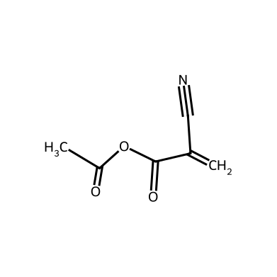 C=C(C#N)C(=O)OC(C)=O